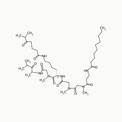 CCCCCCCCCC(=O)NCCC(=O)N(C)CC(=O)N(C)CC(=O)N[C@@H](CCCCNC(=O)CCCC(=O)C(C)C)C(=O)N(C)CC(=O)NC(C)C(=O)C(C)C